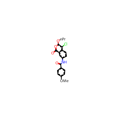 CCCOc1oc(=O)c2cc(NC(=O)c3ccc(OC)cc3)ccc2c1Cl